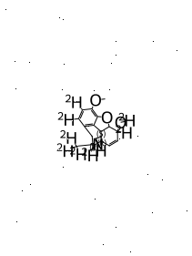 [2H]OC1([2H])C=C[C@]2([2H])[C@@]34CCN(C([2H])([2H])[2H])[C@]2([2H])Cc2c([2H])c([2H])c(OC)c(c23)OC14